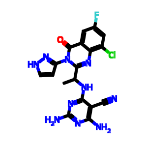 CC(Nc1nc(N)nc(N)c1C#N)c1nc2c(Cl)cc(F)cc2c(=O)n1-c1cc[nH]n1